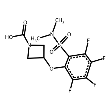 CN(C)S(=O)(=O)c1c(F)c(F)c(F)c(F)c1OC1CN(C(=O)O)C1